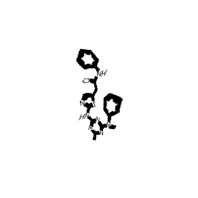 Cc1nc(Nc2ncc(CC(=O)Nc3ccccc3)s2)nc(N(C)c2ccccc2)n1